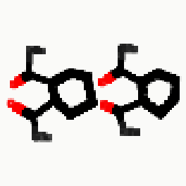 CC(C)COC(=O)c1ccccc1C(=O)OCC(C)C.CC(C)COC(=O)c1ccccc1C(=O)OCC(C)C